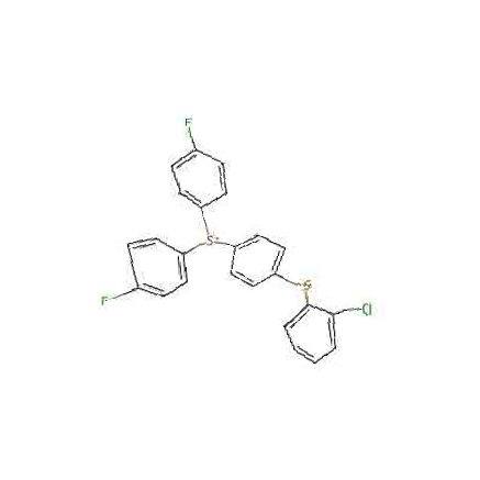 Fc1ccc([S+](c2ccc(F)cc2)c2ccc(Sc3ccccc3Cl)cc2)cc1